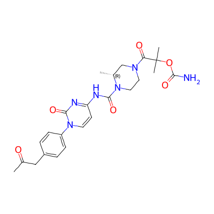 CC(=O)Cc1ccc(-n2ccc(NC(=O)N3CCN(C(=O)C(C)(C)OC(N)=O)C[C@H]3C)nc2=O)cc1